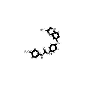 Cc1cnc2ccc(Oc3ccc(NC(=O)Nc4ccc(C(F)(F)F)cc4)cc3)cc2n1